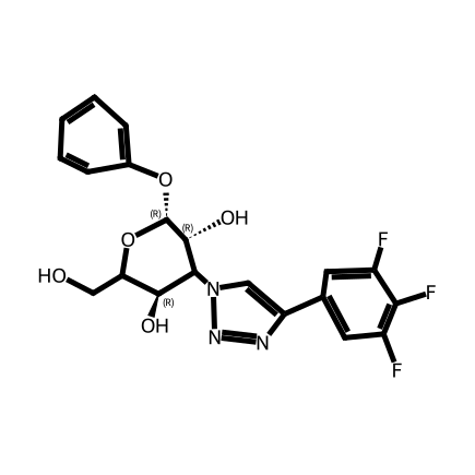 OCC1O[C@H](Oc2ccccc2)[C@H](O)C(n2cc(-c3cc(F)c(F)c(F)c3)nn2)[C@H]1O